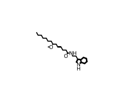 CCCCCCCC(C/C=C/CCC(=O)NCCc1c[nH]c2ccccc12)OC